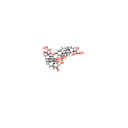 C[C@]12C[C@H](O)[C@H]3[C@@H](CCC4=CC(=O)CC(O[PH](=O)OC5CC(=O)C=C6CC[C@@H]7[C@H]([C@@H](O)C[C@@]8(C)[C@H]7CC[C@]8(O)C(=O)CO)[C@]65C)[C@@]43C)[C@@H]1CC[C@]2(O)C(=O)CO